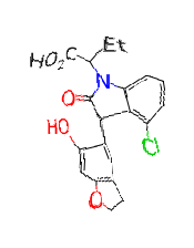 CCC(C(=O)O)N1C(=O)C(c2cc3c(cc2O)OCC3)c2c(Cl)cccc21